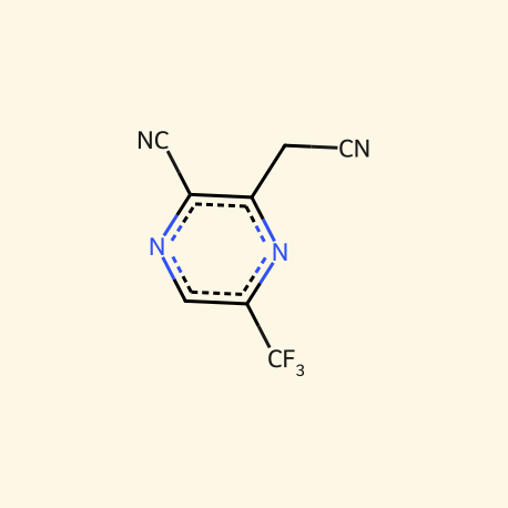 N#CCc1nc(C(F)(F)F)cnc1C#N